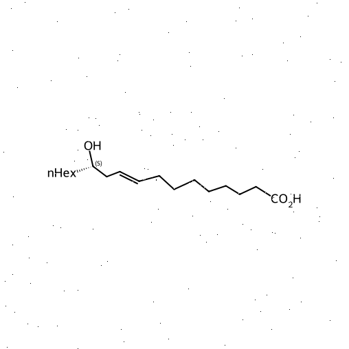 CCCCCC[C@H](O)CC=CCCCCCCCC(=O)O